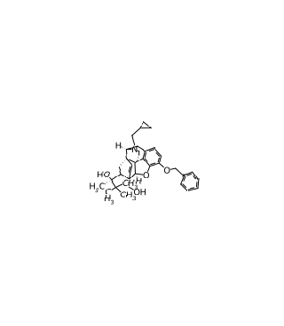 CC(C)(C)[C@@](C)(O)C1C[C@@]23C=C[C@@]1(CO)[C@@H]1Oc4c(OCc5ccccc5)ccc5c4[C@@]12CCN(CC1CC1)[C@@H]3C5